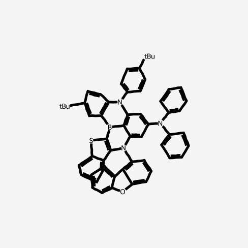 CC(C)(C)c1ccc(N2c3ccc(C(C)(C)C)cc3B3c4sc5ccccc5c4N(c4cccc5oc6ccccc6c45)c4cc(N(c5ccccc5)c5ccccc5)cc2c43)cc1